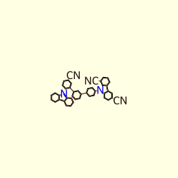 N#Cc1ccc(-n2c3ccccc3c3ccccc32)c(-c2cccc(-c3ccc(-n4c5ccc(C#N)cc5c5cccc(C#N)c54)cc3)c2)c1